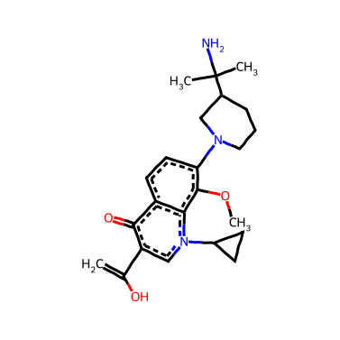 C=C(O)c1cn(C2CC2)c2c(OC)c(N3CCCC(C(C)(C)N)C3)ccc2c1=O